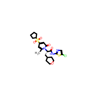 Cc1cc(S(=O)(=O)C2CCCC2)cc(=O)n1[C@@H](CC1CCOCC1)C(=O)Nc1ncc(Cl)s1